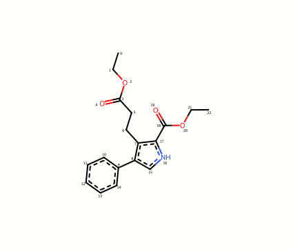 CCOC(=O)CCc1c(-c2ccccc2)c[nH]c1C(=O)OCC